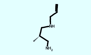 C=CCNC[C@@H](C)CN